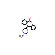 CN1CCC(=C2c3ccccc3CC(O)c3ccccc32)CC1